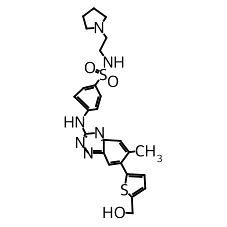 Cc1cc2nc(Nc3ccc(S(=O)(=O)NCCN4CCCC4)cc3)nnc2cc1-c1ccc(CO)s1